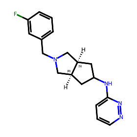 Fc1cccc(CN2C[C@H]3CC(Nc4cccnn4)C[C@H]3C2)c1